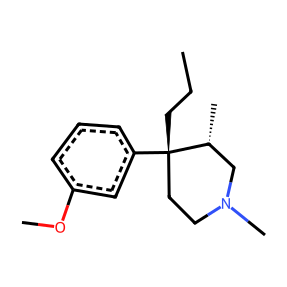 CCC[C@]1(c2cccc(OC)c2)CCN(C)C[C@H]1C